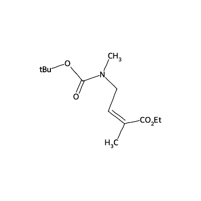 CCOC(=O)/C(C)=C\CN(C)C(=O)OC(C)(C)C